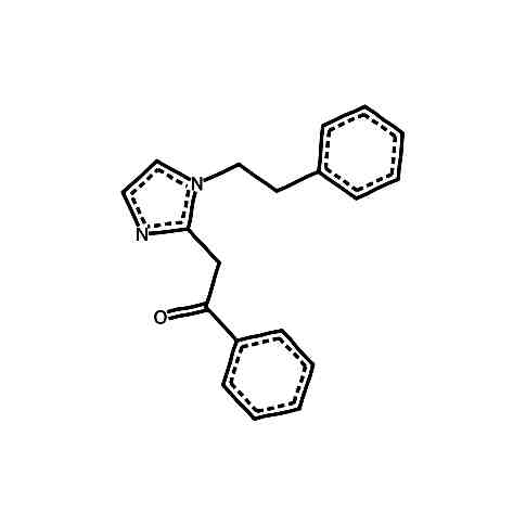 O=C(Cc1nccn1CCc1ccccc1)c1ccccc1